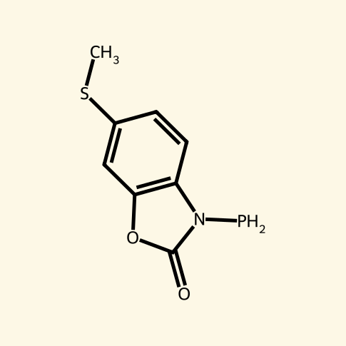 CSc1ccc2c(c1)oc(=O)n2P